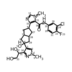 Cn1cc(C2(O)CC3CC(c4ncn(C)c4C(=O)Nc4ccc(F)c(Cl)c4)CC3C2)c(C(O)CO)n1